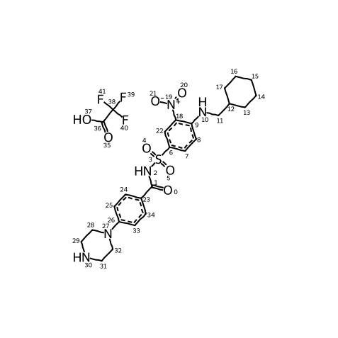 O=C(NS(=O)(=O)c1ccc(NCC2CCCCC2)c([N+](=O)[O-])c1)c1ccc(N2CCNCC2)cc1.O=C(O)C(F)(F)F